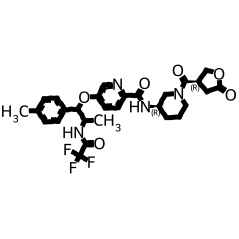 Cc1ccc(C(Oc2ccc(C(=O)N[C@@H]3CCCN(C(=O)[C@H]4COC(=O)C4)C3)nc2)C(C)NC(=O)C(F)(F)F)cc1